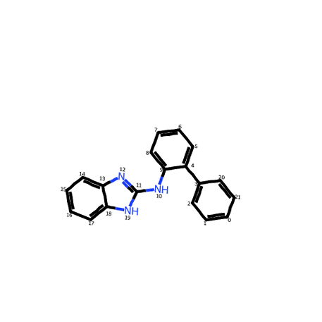 c1ccc(-c2ccccc2Nc2nc3ccccc3[nH]2)cc1